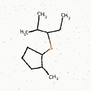 CCC(SC1CCCC1C)C(C)C